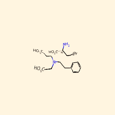 CC(C)C[C@@H](N)C(=O)O.O=C(O)CCN(CCc1ccccc1)CC(=O)O